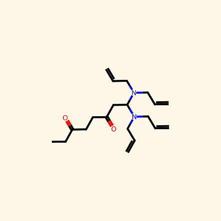 C=CCN(CC=C)C(CC(=O)CCC(=O)CC)N(CC=C)CC=C